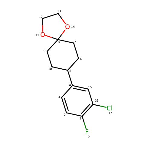 Fc1ccc(C2CCC3(CC2)OCCO3)cc1Cl